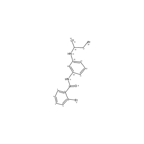 CCc1ccccc1C(=O)Nc1cccc(NC(CC(C)C)C(F)(F)F)c1